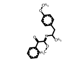 COC(=NC(C)Cc1ccc(OC)cc1)C(=O)c1ccccc1